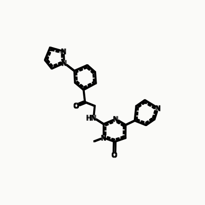 Cn1c(NCC(=O)c2cccc(-n3cccn3)c2)nc(-c2ccncc2)cc1=O